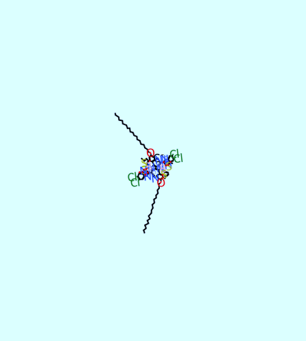 [C-]#[N+]/C(c1cnc2cc(Cl)c(Cl)cc2n1)=c1\c2c(-c3ccc(OCCCCCCCCCCCCCCCCCCCC)cc3)n(B(c3ccc(C)s3)c3ccc(C)s3)/c(=C(/C#N)c3cnc4cc(Cl)c(Cl)cc4n3)c2c(-c2ccc(OCCCCCCCCCCCCCCCCCCCC)cc2)n1B(c1ccc(C)s1)c1ccc(C)s1